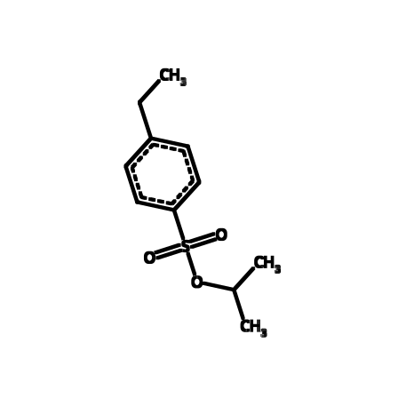 CCc1ccc(S(=O)(=O)OC(C)C)cc1